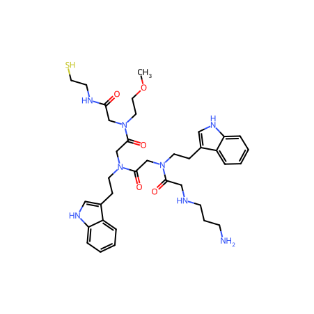 COCCN(CC(=O)NCCS)C(=O)CN(CCc1c[nH]c2ccccc12)C(=O)CN(CCc1c[nH]c2ccccc12)C(=O)CNCCCN